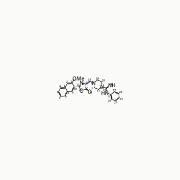 COc1cc2ccccc2cc1C1=N/C(=C/N2CCN(C(=N)Nc3ccccc3)CC2)C(=O)O1